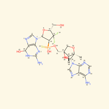 NC1=Nc2c(ncn2[C@@H]2O[C@H](CO)C(F)(F)[C@H]2P(O)(=S)OC[C@@]23CO[C@@H]([C@H](n4cnc5c(N)ncnc54)O2)[C@@H]3O)C(O)N1